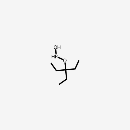 CCC(CC)(CC)OPO